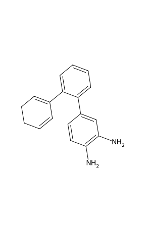 Nc1ccc(-c2ccccc2C2=CCCC=C2)cc1N